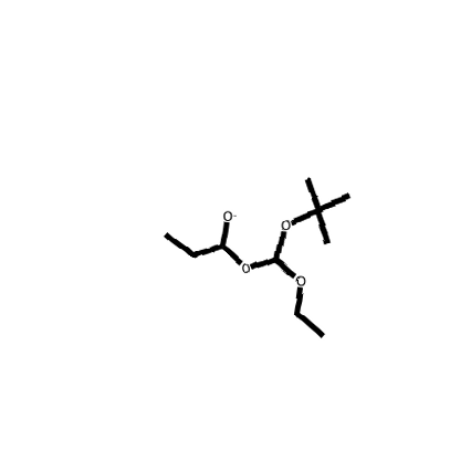 CCOC(OC([O])CC)OC(C)(C)C